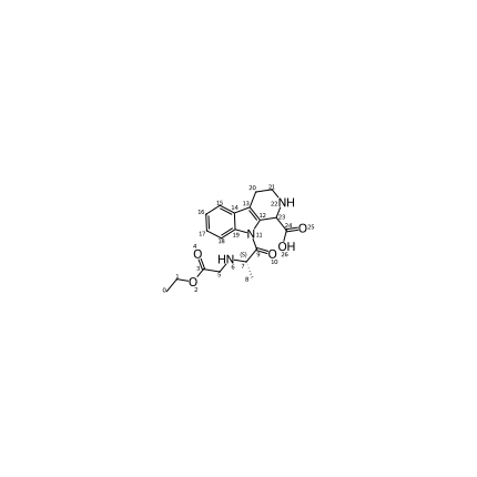 CCOC(=O)CN[C@@H](C)C(=O)n1c2c(c3ccccc31)CCNC2C(=O)O